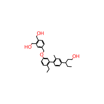 CCc1ccc(OCc2ccc(CO)c(CO)c2)cc1-c1ccc(C(CC)CCO)cc1C